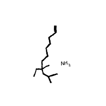 C=CCCCCCC(C)(CC)CC(C)C.N